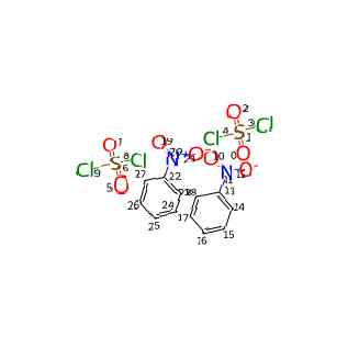 O=S(=O)(Cl)Cl.O=S(=O)(Cl)Cl.O=[N+]([O-])c1ccccc1.O=[N+]([O-])c1ccccc1